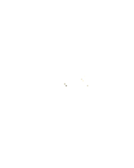 C[C@@H](NCCCc1ccc(CCC(=O)O)c(F)c1)c1cccc2ccccc12